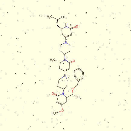 COC1=CC(=O)N(C2CCN(C3=CC(=O)N(C4CCN(C5=CC(=O)N[C@H](CC(C)C)C5)CC4)[C@@H](C)C3)CC2)C([C@@H](C)OCc2ccccc2)C1